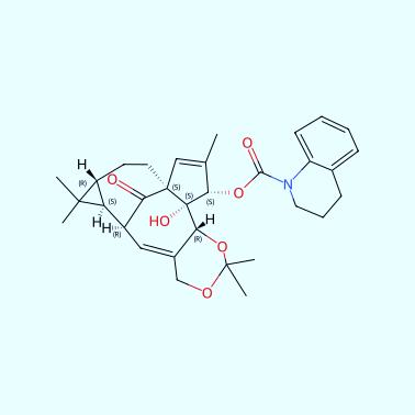 CC1=C[C@@]23CC[C@@H]4[C@@H]([C@H](C=C5COC(C)(C)O[C@H]5[C@]2(O)[C@H]1OC(=O)N1CCCc2ccccc21)C3=O)C4(C)C